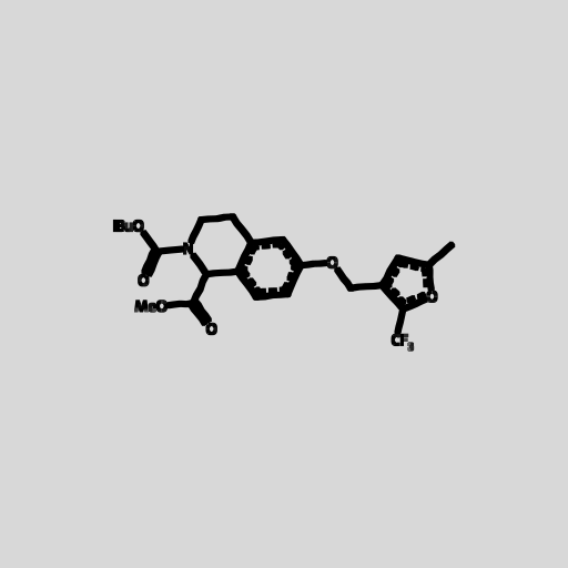 COC(=O)C1c2ccc(OCc3cc(C)oc3C(F)(F)F)cc2CCN1C(=O)OCC(C)C